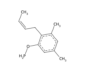 C/C=C\Cc1c(C)cc(C)cc1OP